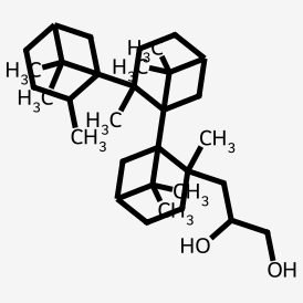 CC1CCC2CC1(C1(C)CCC3CC1(C14CC(CCC1(C)CC(O)CO)C4(C)C)C3(C)C)C2(C)C